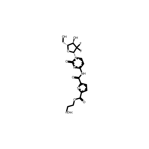 CCCCCCCCCCCCOC(=O)c1ccc(C(=O)Nc2ccn([C@@H]3O[C@H](CO)[C@@H](O)C3(F)F)c(=O)n2)s1